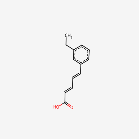 CCc1cccc(C=CC=CC(=O)O)c1